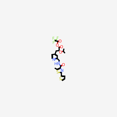 Cc1sc(-c2cccs2)nc1C(=O)NCc1cc(CC(OC(C)C)C(=O)OC(=O)C(F)(F)F)ccn1